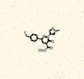 COC(=O)c1cc(-c2ccc(CF)cc2)nn(-c2cnn(C)c2)c1=O